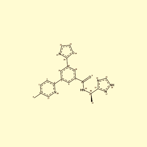 Cc1ccc(-c2cc(C(=O)N[C@H](C)c3nc[nH]n3)cc(-c3ncco3)c2)nc1